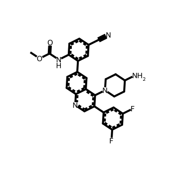 COC(=O)Nc1ccc(C#N)cc1-c1ccc2ncc(-c3cc(F)cc(F)c3)c(N3CCC(N)CC3)c2c1